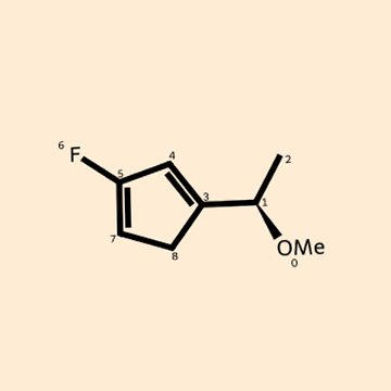 CO[C@H](C)C1=CC(F)=CC1